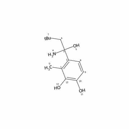 Cc1c(C(N)(O)CC(C)(C)C)ccc(O)c1O